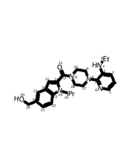 CCNc1cccnc1N1CCN(C(=O)c2cc3cc(CO)ccc3n2C(C)C)CC1